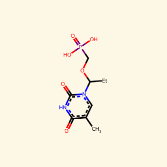 CCC(OCP(=O)(O)O)n1cc(C)c(=O)[nH]c1=O